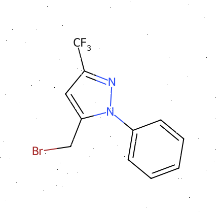 FC(F)(F)c1cc(CBr)n(-c2ccccc2)n1